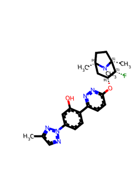 Cc1cnn(-c2ccc(-c3ccc(O[C@@H]4C[C@@]5(C)CC[C@@](C)([C@@H]4F)N5C)nn3)c(O)c2)n1